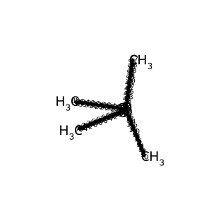 CCCCCCCCCCCCCCCCCC[O][Zr]([O]CCCCCCCCCCCCCCCCCC)([O]CCCCCCCCCCCCCCCCCC)[O]CCCCCCCCCCCCCCCCCC